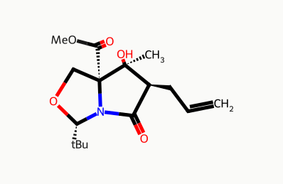 C=CC[C@H]1C(=O)N2[C@H](C(C)(C)C)OC[C@@]2(C(=O)OC)[C@@]1(C)O